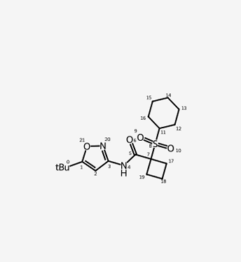 CC(C)(C)c1cc(NC(=O)C2(S(=O)(=O)C3CCCCC3)CCC2)no1